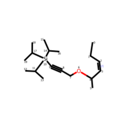 CC/C=C\C(C)OCC#C[Si](C(C)C)(C(C)C)C(C)C